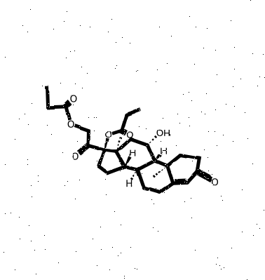 CCC(=O)OCC(=O)[C@@]1(OC(=O)CC)CC[C@H]2[C@@H]3CCC4=CC(=O)CC[C@]4(C)[C@H]3[C@@H](O)C[C@@]21C